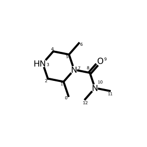 CC1CNCC(C)N1C(=O)N(C)C